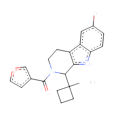 CCOC(=O)C1(C2c3[nH]c4ccc(Br)cc4c3CCN2C(=O)c2ccoc2)CCC1